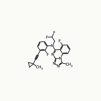 Cc1nnc2nc(N(CC(F)F)c3cccc(C#CC4(C)CC4)c3F)c3c(F)cccc3n12